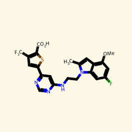 COc1cc(F)cc2c1cc(C)n2CCNc1cc(-c2cc(C(F)(F)F)c(C(=O)O)s2)ncn1